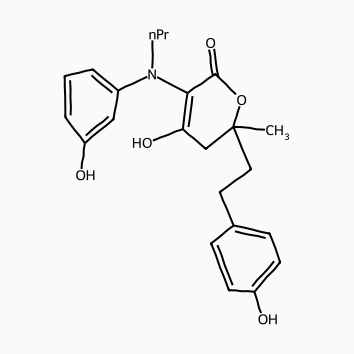 CCCN(C1=C(O)CC(C)(CCc2ccc(O)cc2)OC1=O)c1cccc(O)c1